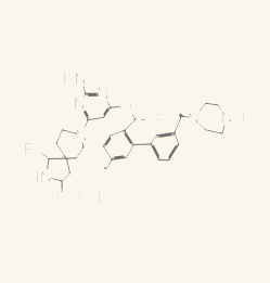 CCC1NC(C(=O)O)CC12CCN(c1cc(O[C@H](c3ccc(Cl)cc3-c3cccc(C(=O)N4CCNCC4)c3)C(F)(F)F)nc(N)n1)CC2